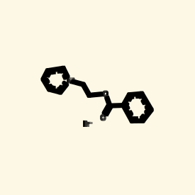 O=C(OCC[n+]1ccccc1)c1ccccc1.[Br-]